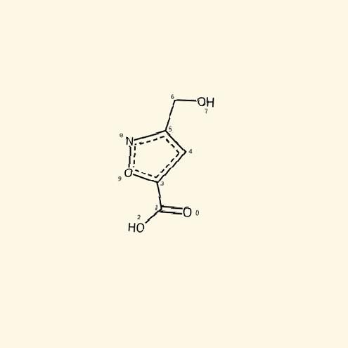 O=C(O)c1cc(CO)no1